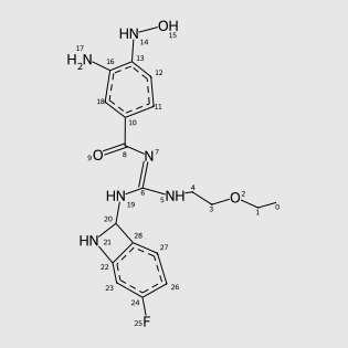 CCOCCN/C(=N/C(=O)c1ccc(NO)c(N)c1)NC1Nc2cc(F)ccc21